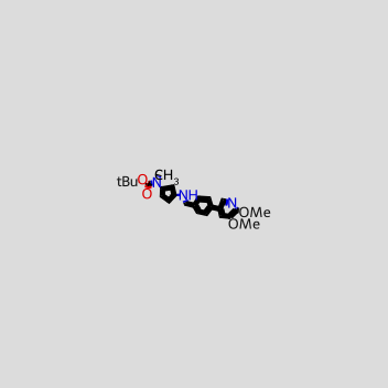 COc1cc(-c2ccc(CN[C@H]3CC[C@@H](N(C)C(=O)OC(C)(C)C)C3)cc2)cnc1OC